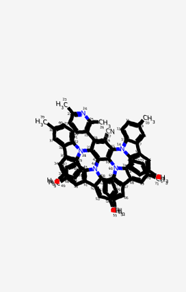 Cc1ccc2c(c1)c1cc(C)ccc1n2-c1c(C#N)c(-c2ccc(C)nc2C)c(-n2c3ccc(C)cc3c3cc(C)ccc32)c(-n2c3ccc(C)cc3c3cc(C)ccc32)c1-n1c2ccc(C)cc2c2cc(C)ccc21